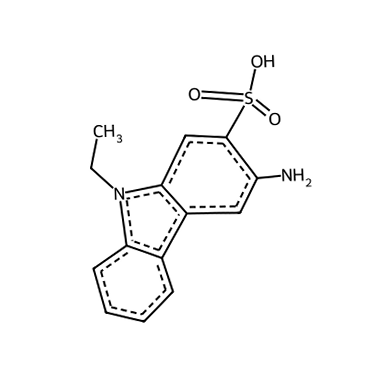 CCn1c2ccccc2c2cc(N)c(S(=O)(=O)O)cc21